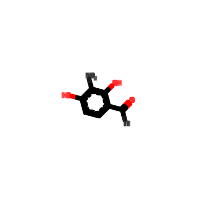 CCC(=O)c1ccc(O)c([N+](=O)[O-])c1O